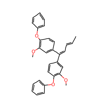 CC=CC=C(c1ccc(Oc2ccccc2)c(OC)c1)c1ccc(Oc2ccccc2)c(OC)c1